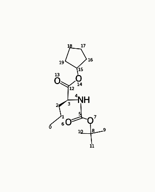 CCC[C@H](NC(=O)OC(C)(C)C)C(=O)OC1CCCC1